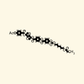 C=CC(=O)OCCCCCCOC(=O)Oc1ccc(C(=O)Oc2ccc(C(=O)O[C@H]3COC4C3OC[C@@H]4OC(=O)c3ccc(OC(C)=O)cc3)cc2)cc1